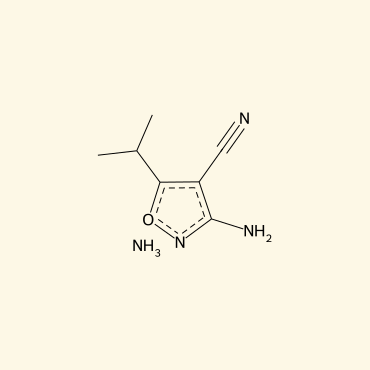 CC(C)c1onc(N)c1C#N.N